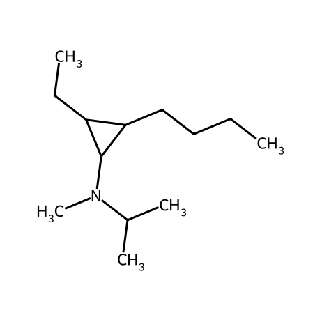 CCCCC1C(CC)C1N(C)C(C)C